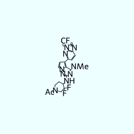 CNc1nc(N[C@@H]2CCN(C(C)=O)CC2(F)F)nn2ccc(-c3ccc4ncn(CC(F)(F)F)c4n3)c12